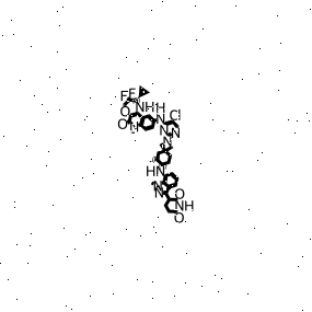 C[C@@H]1CC2(CC[C@H]1Nc1cccc3c(C4CCC(=O)NC4=O)nn(C)c13)CN(c1ncc(Cl)c(Nc3ccc4c(c3)c3c(c(=O)n4C)OCC(F)(F)[C@H](C4CC4)N3)n1)C2